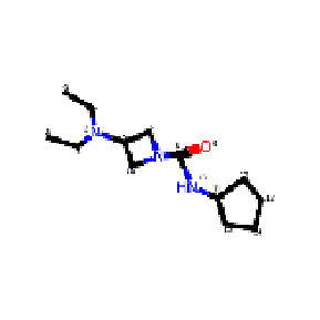 CCN(CC)C1CN(C(=O)NC2CCCC2)C1